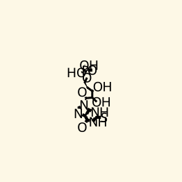 O=c1[nH]c(=S)[nH]c2c1ncn2[C@H]1O[C@@H](COP(=O)(O)O)C(O)C1O